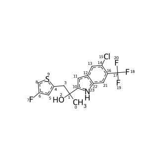 CC(O)(Cc1cc(F)cs1)c1cc2cc(Cl)c(C(F)(F)F)cc2[nH]1